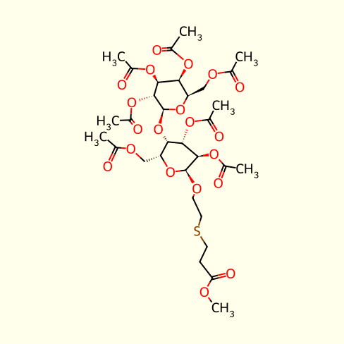 COC(=O)CCSCCO[C@H]1O[C@H](COC(C)=O)[C@H](O[C@@H]2O[C@H](COC(C)=O)[C@H](OC(C)=O)[C@H](OC(C)=O)[C@H]2OC(C)=O)[C@H](OC(C)=O)[C@H]1OC(C)=O